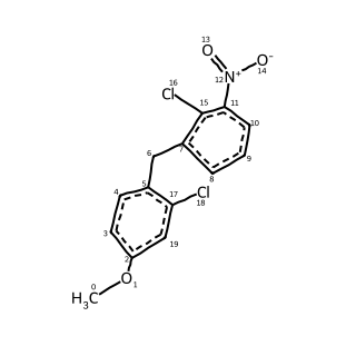 COc1ccc(Cc2cccc([N+](=O)[O-])c2Cl)c(Cl)c1